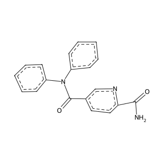 NC(=O)c1ccc(C(=O)N(c2ccccc2)c2ccccc2)cn1